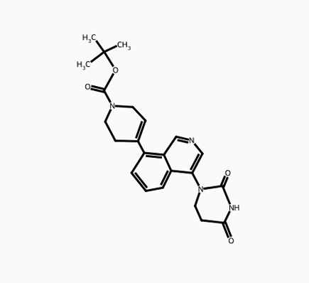 CC(C)(C)OC(=O)N1CC=C(c2cccc3c(N4CCC(=O)NC4=O)cncc23)CC1